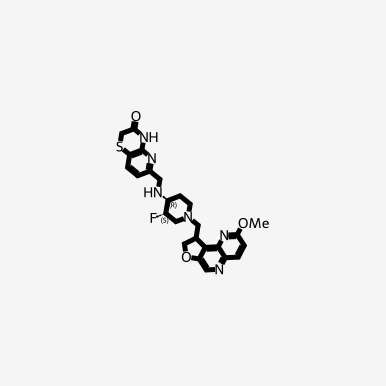 COc1ccc2ncc3c(c2n1)C(CN1CC[C@@H](NCc2ccc4c(n2)NC(=O)CS4)[C@@H](F)C1)CO3